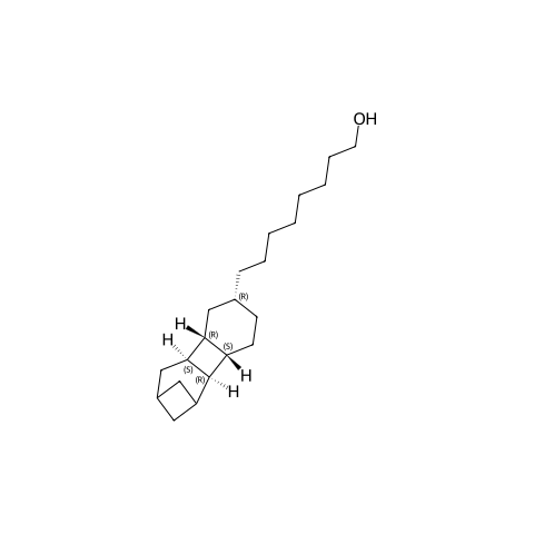 OCCCCCCCC[C@@H]1CC[C@H]2[C@@H](C1)[C@@H]1CC3CC(C3)[C@H]21